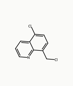 ClCc1ccc(Cl)c2cccnc12